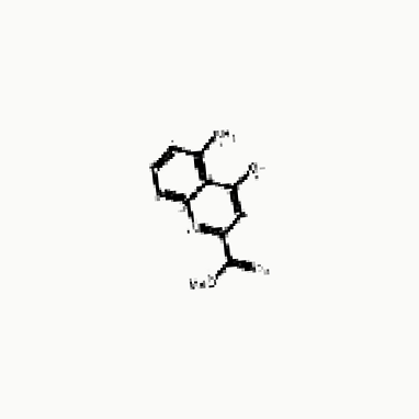 COC(=O)c1cc(O)c2c(N)cccc2n1